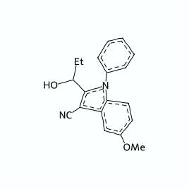 CCC(O)c1c(C#N)c2cc(OC)ccc2n1-c1ccccc1